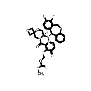 COC(=O)OCOc1c2n(ccc1=O)N([C@@H]1c3ccccc3SCc3c1ccc(F)c3F)[C@@H]1COC3(COC3)CN1C2=O